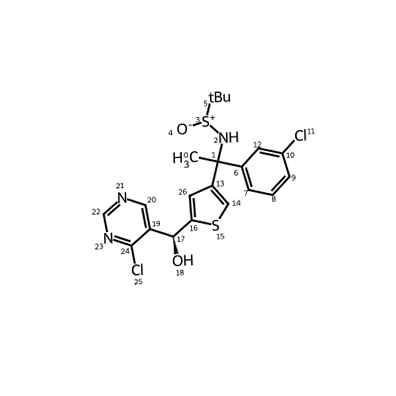 CC(N[S+]([O-])C(C)(C)C)(c1cccc(Cl)c1)c1csc([C@@H](O)c2cncnc2Cl)c1